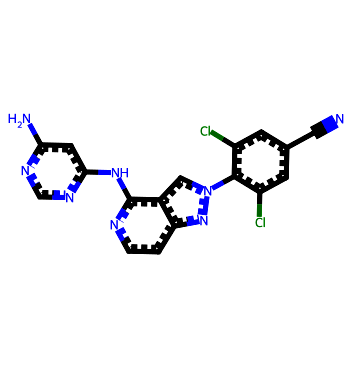 N#Cc1cc(Cl)c(-n2cc3c(Nc4cc(N)ncn4)nccc3n2)c(Cl)c1